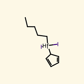 CCCC[CH2][Hf]([I])([I])[CH]1C=CC=C1